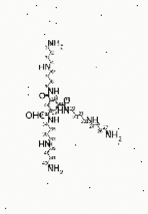 NCCCCNCCCCNC(=O)c1cc(C(=O)NCCCCNCCCCN)cc(C(C=O)NCCCCNCCCCN)c1